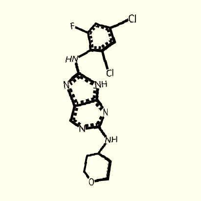 Fc1cc(Cl)cc(Cl)c1Nc1nc2cnc(NC3CCOCC3)nc2[nH]1